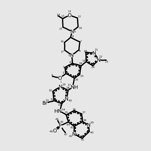 COc1cc(N2CCC(N3CCOC(C)C3)CC2)c(-c2cnn(C)c2)cc1Nc1ncc(Br)c(Nc2ccc3nccnc3c2P(C)(C)=O)n1